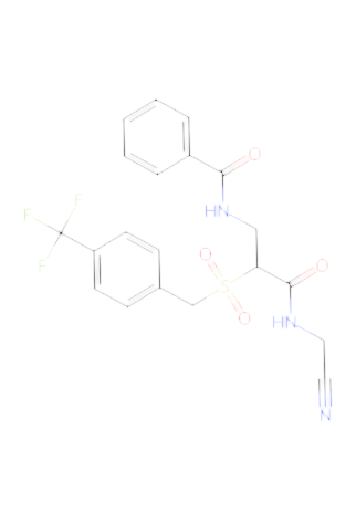 N#CCNC(=O)C(CNC(=O)c1ccccc1)S(=O)(=O)Cc1ccc(C(F)(F)F)cc1